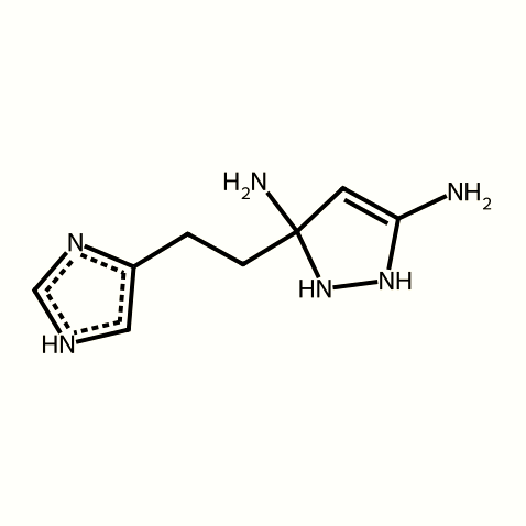 NC1=CC(N)(CCc2c[nH]cn2)NN1